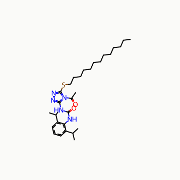 CCCCCCCCCCCCCSc1nnc(NC(=O)Nc2c(C(C)C)cccc2C(C)C)n1C(C)=O